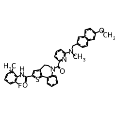 COc1ccc2cc(CN(C)c3cccc(C(=O)N4CCc5cc(C(=O)Nc6c(C)cccc6F)sc5-c5ccccc54)n3)ccc2c1